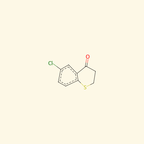 O=C1CCSc2ccc(Cl)cc21